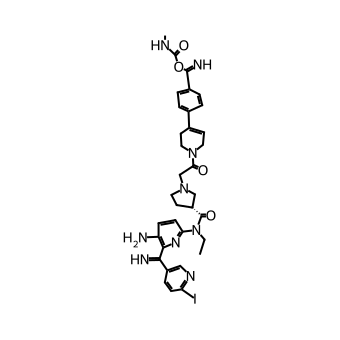 CCN(C(=O)[C@@H]1CCN(CC(=O)N2CC=C(c3ccc(C(=N)OC(=O)NC)cc3)CC2)C1)c1ccc(N)c(C(=N)c2ccc(I)nc2)n1